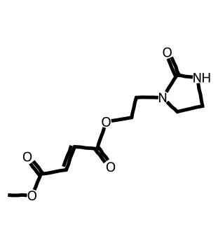 COC(=O)/C=C/C(=O)OCCN1CCNC1=O